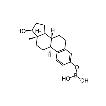 C[C@]12CC[C@@H]3c4ccc(OB(O)O)cc4CC[C@H]3[C@@H]1CC[C@@H]2O